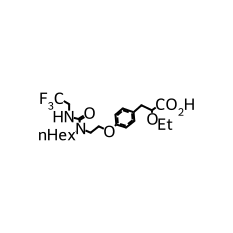 CCCCCCN(CCOc1ccc(CC(OCC)C(=O)O)cc1)C(=O)NCC(F)(F)F